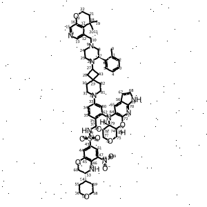 Cc1ccccc1[C@@H]1CN([C@@H](C)c2cncc3c2C(C)(C)CCO3)CCN1C1CC2(CCN(c3ccc(C(=O)NS(=O)(=O)c4cc5c(c([N+](=O)[O-])c4)N[C@H](C4CCOCC4)CO5)c(N4c5cc6cc[nH]c6nc5O[C@H]5COCC[C@@H]54)c3)CC2)C1